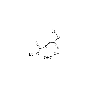 CCOC(=S)SSC(=S)OCC.O=CO